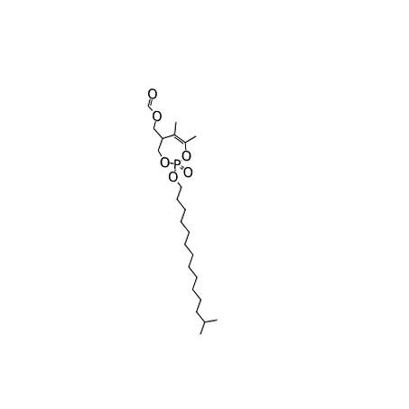 CC1=C(C)C(COC=O)COP(=O)(OCCCCCCCCCCCCC(C)C)O1